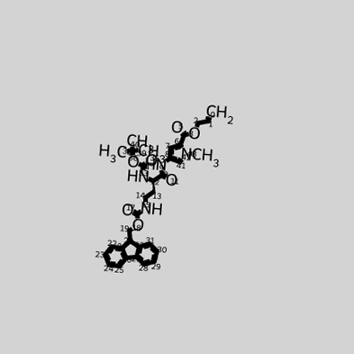 C=CCOC(=O)c1cc(NC(=O)[C@@H](CCNC(=O)OCC2c3ccccc3-c3ccccc32)NC(=O)OC(C)(C)C)cn1C